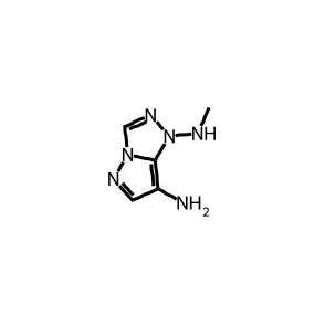 CNn1ncn2ncc(N)c12